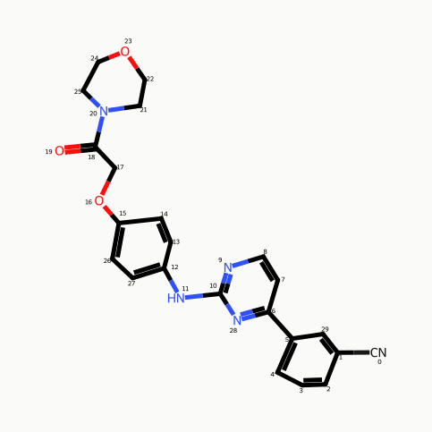 N#Cc1cccc(-c2ccnc(Nc3ccc(OCC(=O)N4CCOCC4)cc3)n2)c1